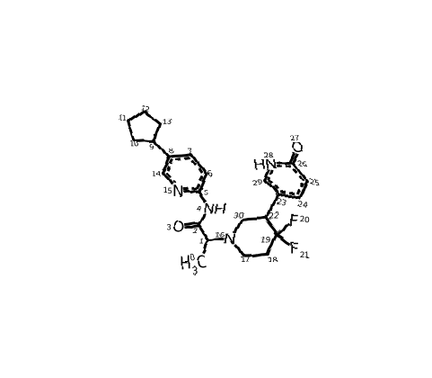 CC(C(=O)Nc1ccc(C2CCCC2)cn1)N1CCC(F)(F)C(c2ccc(=O)[nH]c2)C1